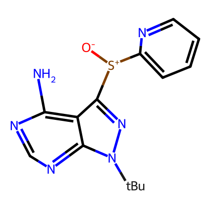 CC(C)(C)n1nc([S+]([O-])c2ccccn2)c2c(N)ncnc21